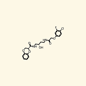 O=C(COc1ccc(Cl)c(F)c1)NCC[C@H](O)CNC(=O)[C@@H]1COc2ccccc2O1